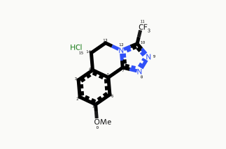 COc1ccc2c(c1)-c1nnc(C(F)(F)F)n1CC2.Cl